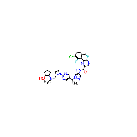 CC(c1cnc(N2CC[C@H]2CN(C)[C@H]2CCC[C@@H]2O)nc1)n1cc(NC(=O)c2cncc(-c3c(C(F)F)ccc(Cl)c3F)n2)cn1